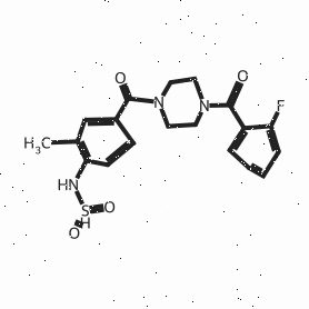 Cc1cc(C(=O)N2CCN(C(=O)c3ccccc3F)CC2)ccc1N[SH](=O)=O